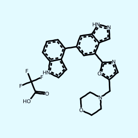 O=C(O)C(F)(F)F.c1cc(-c2cc(-c3ncc(CN4CCOCC4)o3)c3cn[nH]c3c2)c2cc[nH]c2c1